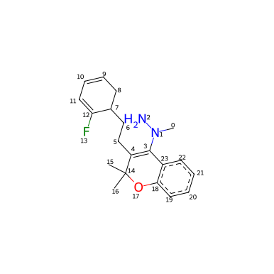 CN(N)C1=C(CCC2CC=CC=C2F)C(C)(C)Oc2ccccc21